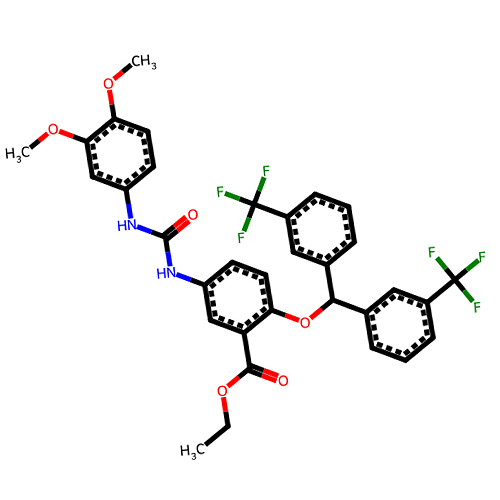 CCOC(=O)c1cc(NC(=O)Nc2ccc(OC)c(OC)c2)ccc1OC(c1cccc(C(F)(F)F)c1)c1cccc(C(F)(F)F)c1